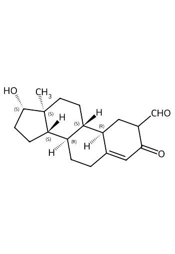 C[C@]12CC[C@H]3[C@@H](CCC4=CC(=O)C(C=O)C[C@@H]43)[C@@H]1CC[C@@H]2O